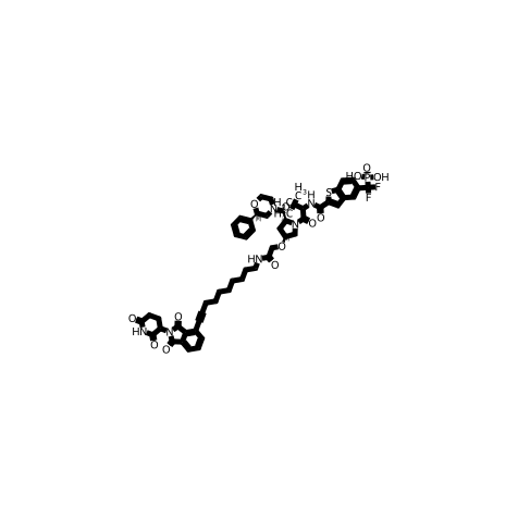 CC(C)(C)C(NC(=O)c1cc2cc(C(F)(F)P(=O)(O)O)ccc2s1)C(=O)N1C[C@@H](OCC(=O)NCCCCCCCCC#Cc2cccc3c2C(=O)N(C2CCC(=O)NC2=O)C3=O)C[C@H]1C(=O)N1CCO[C@H](c2ccccc2)C1